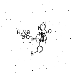 CC[C@H](COS(N)(=O)=O)[C@@H](O)CNc1ncncc1C(=O)c1cc(C)n(Cc2cccc(Br)c2)n1